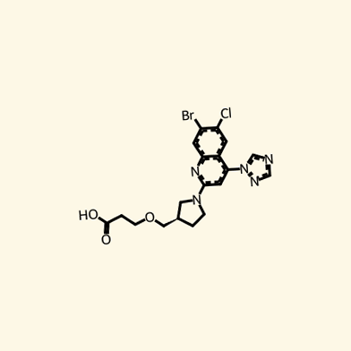 O=C(O)CCOC[C@@H]1CCN(c2cc(-n3cncn3)c3cc(Cl)c(Br)cc3n2)C1